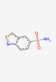 NS(=O)(=O)c1ccc2nscc2c1